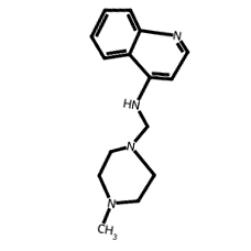 CN1CCN(CNc2ccnc3ccccc23)CC1